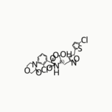 O=C(O)[C@H](Cc1cc(-c2ccc(Cl)s2)on1)NS(=O)(=O)c1cccc(N2CCOCC2=O)c1Cl